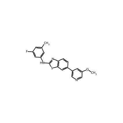 COc1cncc(-c2ccc3nc(Nc4cc(C)cc(F)c4)sc3c2)c1